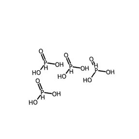 O=[PH](O)O.O=[PH](O)O.O=[PH](O)O.O=[PH](O)O